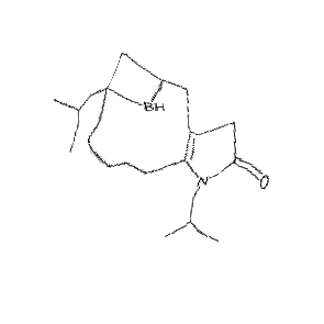 CC(C)N1C(=O)CC2=C1CCCC1(C(C)C)BC(C2)C1